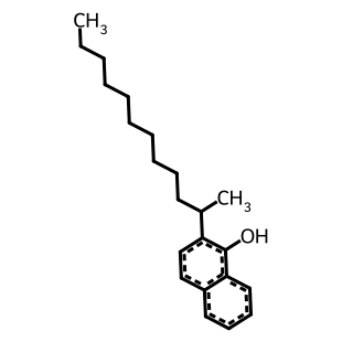 CCCCCCCCCCC(C)c1ccc2ccccc2c1O